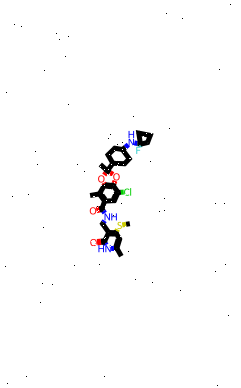 CSc1cc(C)[nH]c(=O)c1CNC(=O)c1cc(Cl)c2c(c1C)OC(C)(C1CCC(NC3(F)CCC3)CC1)O2